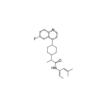 C/C=C(\C=C(C)C)NC(=O)C(C)C1CCC(c2ccnc3ccc(F)cc23)CC1